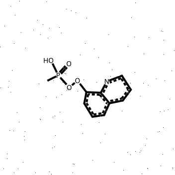 CP(=O)(O)OOc1cccc2cccnc12